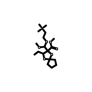 CCC1OC2(CCCC2)OC1(C(=O)OC)C(OC)OCC[Si](C)(C)C